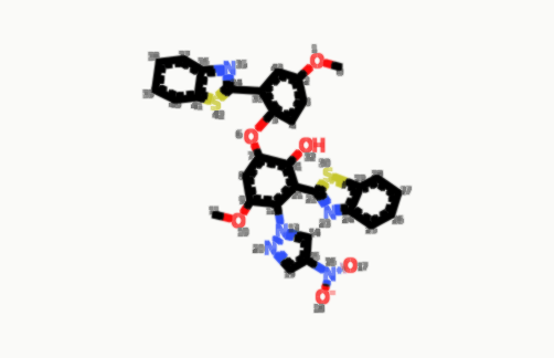 COc1ccc(Oc2cc(OC)c(-n3cc([N+](=O)[O-])cn3)c(-c3nc4ccccc4s3)c2O)c(-c2nc3ccccc3s2)c1